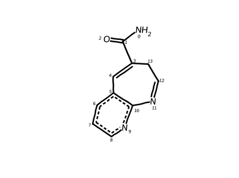 NC(=O)C1=Cc2cccnc2N=CC1